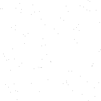 COC(=O)/[C]=C/c1ccccc1